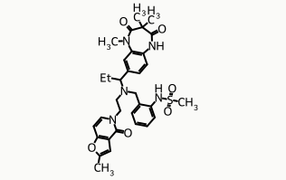 CCC(c1ccc2c(c1)N(C)C(=O)C(C)(C)C(=O)N2)N(CCn1ccc2oc(C)cc2c1=O)Cc1ccccc1NS(C)(=O)=O